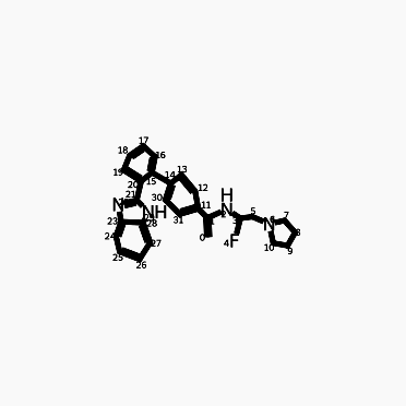 C=C(NC(F)CN1CCCC1)c1ccc(-c2ccccc2-c2nc3ccccc3[nH]2)cc1